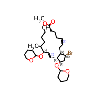 CCCCC(C)[C@@H](/C=C/[C@@H]1[C@@H](C/C=C\CCCC(=O)OC)[C@@H](Br)C[C@H]1OC1CCCCO1)OC1CCCCO1